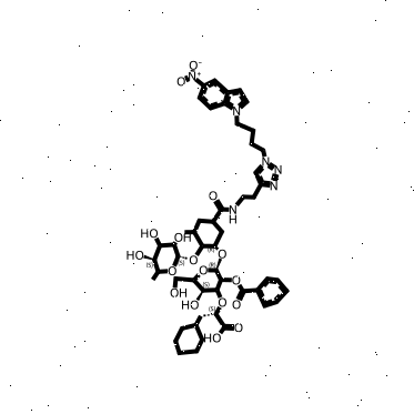 CC1CC(C(=O)NCCc2cn(CCCCn3ccc4cc([N+](=O)[O-])ccc43)nn2)C[C@@H](O[C@@H]2OC(CO)[C@H](O)C(O[C@@H](CC3CCCCC3)C(=O)O)C2OC(=O)c2ccccc2)C1O[C@@H]1OC(C)[C@@H](O)C(O)C1O